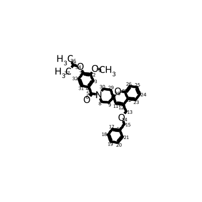 COc1cc(C(=O)N2CCC3(C=C(COCc4ccccc4)c4ccccc4O3)CC2)ccc1OC(C)C